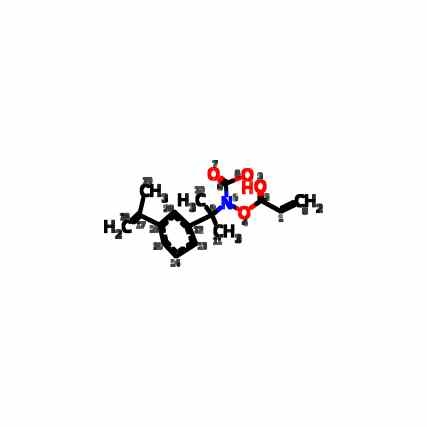 C=CC(=O)ON(C(=O)O)C(C)(C)c1cccc(C(=C)C)c1